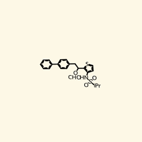 CC(C)S(=O)(=O)Nc1ccsc1C(Cc1ccc(-c2ccccc2)cc1)OC=O